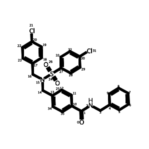 O=C(NCc1ccccc1)c1ccc(CN(Cc2ccc(Cl)cc2)S(=O)(=O)c2ccc(Cl)cc2)cc1